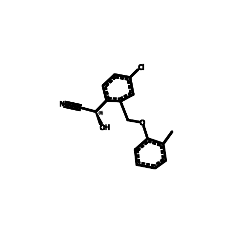 Cc1ccccc1OCc1cc(Cl)ccc1[C@@H](O)C#N